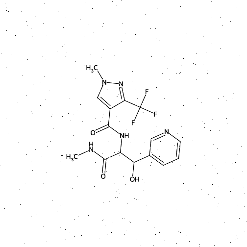 CNC(=O)C(NC(=O)c1cn(C)nc1C(F)(F)F)C(O)c1cccnc1